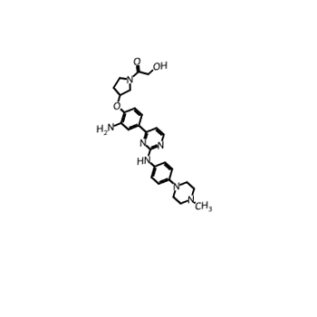 CN1CCN(c2ccc(Nc3nccc(-c4ccc(OC5CCN(C(=O)CO)C5)c(N)c4)n3)cc2)CC1